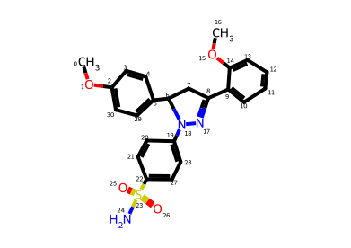 COc1ccc(C2CC(c3ccccc3OC)=NN2c2ccc(S(N)(=O)=O)cc2)cc1